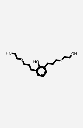 OCCSCCCc1cccc(CCCSCCO)c1O